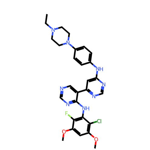 CCN1CCN(c2ccc(Nc3cc(-c4cncnc4Nc4c(F)c(OC)cc(OC)c4Cl)ncn3)cc2)CC1